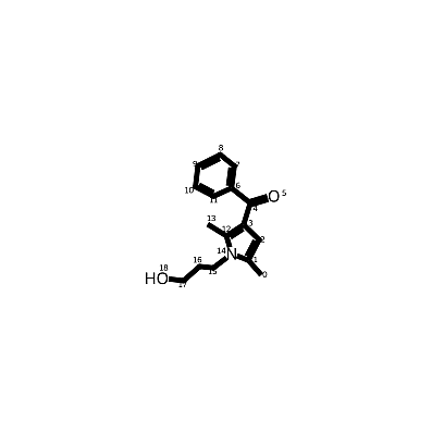 Cc1cc(C(=O)c2ccccc2)c(C)n1CCCO